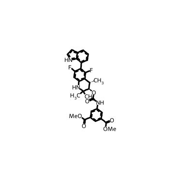 COC(=O)c1cc(NC(=O)O[C@@H]2[C@@H](C)c3c(cc(F)c(-c4cccc5cc[nH]c45)c3F)NC2(C)C)cc(C(=O)OC)c1